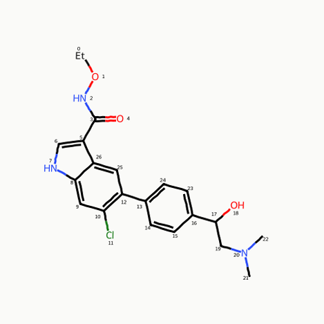 CCONC(=O)c1c[nH]c2cc(Cl)c(-c3ccc(C(O)CN(C)C)cc3)cc12